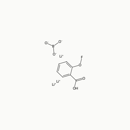 O=C(O)c1ccccc1OF.[Li+].[Li+].[Li+].[O-]B([O-])[O-]